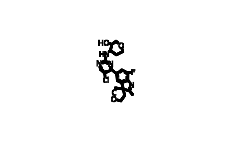 CC1=Nc2c(F)cc(-c3nc(NC4CCOCC4O)ncc3Cl)cc2C12CCOCC2